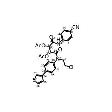 CC(=O)O[C@@H](C(=O)Nc1ccc(C#N)cc1)[C@@H](OC(C)=O)C(=O)N(CCCl)c1ccc(-c2ccsc2)cc1